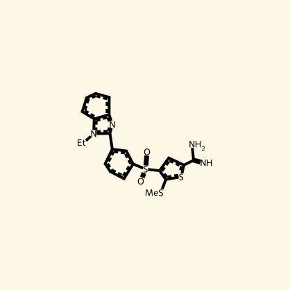 CCn1c(-c2cccc(S(=O)(=O)c3cc(C(=N)N)sc3SC)c2)nc2ccccc21